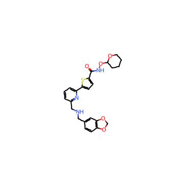 O=C(NOC1CCCCO1)c1ccc(-c2cccc(CNCc3ccc4c(c3)OCO4)n2)s1